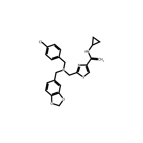 C=C(NC1CC1)c1csc(CN(Cc2ccc(Cl)cc2)Cc2ccc3c(c2)OCO3)n1